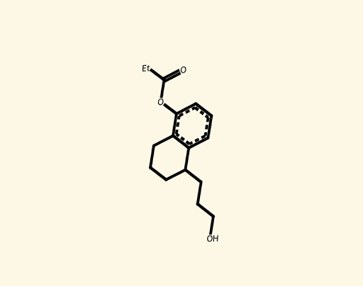 CCC(=O)Oc1cccc2c1CCCC2CCCO